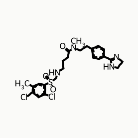 Cc1cc(S(=O)(=O)CNCCCC(=O)N(C)CCc2ccc(C3=NCCN3)cc2)c(Cl)cc1Cl